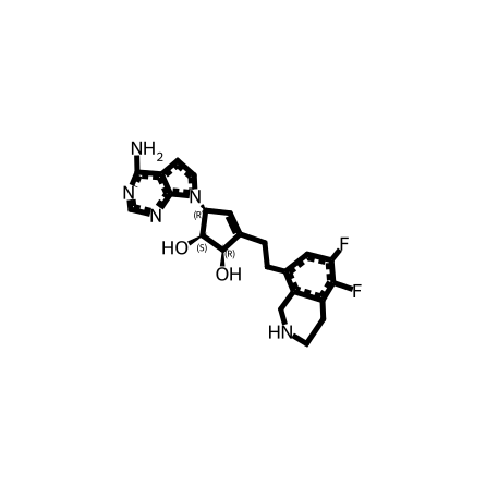 Nc1ncnc2c1ccn2[C@@H]1C=C(CCc2cc(F)c(F)c3c2CNCC3)[C@@H](O)[C@H]1O